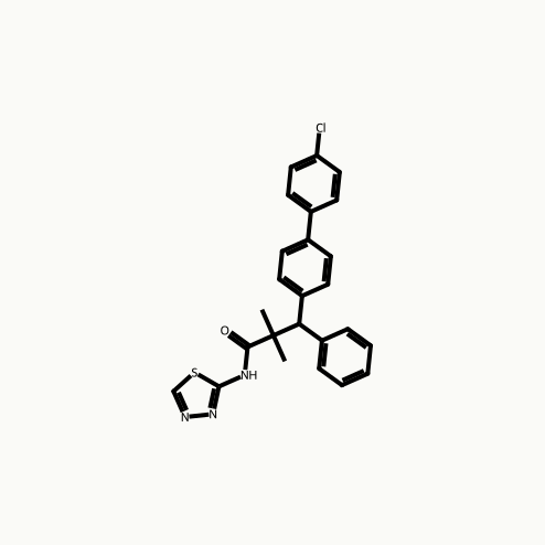 CC(C)(C(=O)Nc1nncs1)C(c1ccccc1)c1ccc(-c2ccc(Cl)cc2)cc1